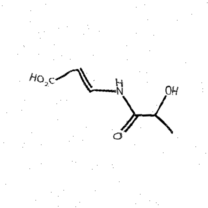 CC(O)C(=O)NC=CC(=O)O